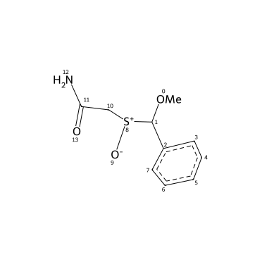 COC(c1ccccc1)[S+]([O-])CC(N)=O